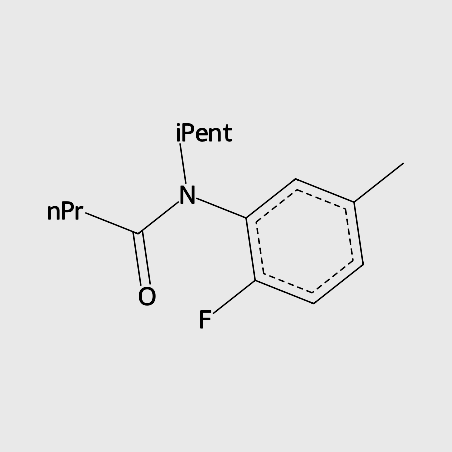 CCCC(=O)N(c1cc(C)ccc1F)C(C)CCC